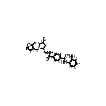 Cc1oncc1CN1C[C@@H](F)C[C@H]1CNC(=O)c1ccc(C(=O)Nc2ccccc2N)nc1